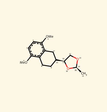 COc1ccc(OC)c2c1[C]C[C]([C@H]1CO[C@@H](C)O1)C2